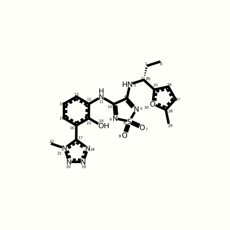 CC[C@@H](NC1=NS(=O)(=O)N=C1Nc1cccc(-c2nnnn2C)c1O)c1ccc(C)o1